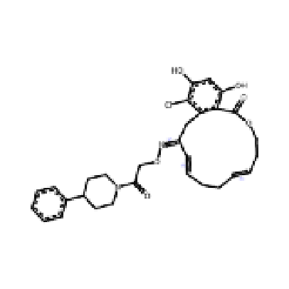 O=C1OCC/C=C/CC/C=C/C(=N\OCC(=O)N2CCC(c3ccccc3)CC2)Cc2c(Cl)c(O)cc(O)c21